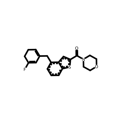 O=C(c1cc2c(CC3=CCCC(F)=C3)cccc2s1)N1CCOCC1